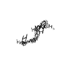 CC(Nc1ncnc2[nH]c(-c3ccc(CN4CCN(CCC(=O)NO)CC4)cc3)cc12)c1ccccc1